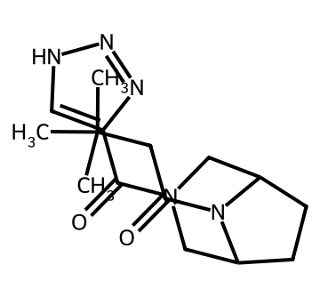 CC(C)(C)CC(=O)N1C2CCC1CN(C(=O)c1c[nH]nn1)C2